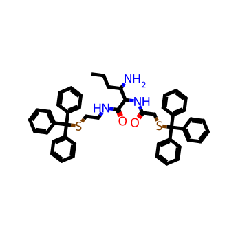 CCCC(N)C(NC(=O)CSC(c1ccccc1)(c1ccccc1)c1ccccc1)C(=O)NCCSC(c1ccccc1)(c1ccccc1)c1ccccc1